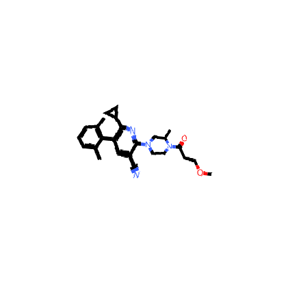 COCCC(=O)N1CCN(c2nc(C3CC3)c(-c3c(C)cccc3C)cc2C#N)CC1C